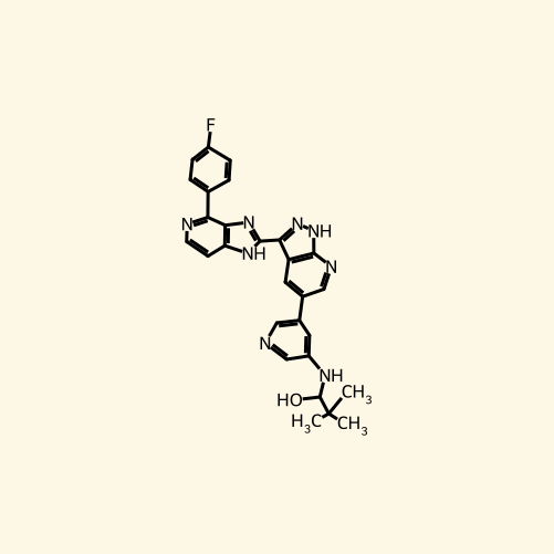 CC(C)(C)C(O)Nc1cncc(-c2cnc3[nH]nc(-c4nc5c(-c6ccc(F)cc6)nccc5[nH]4)c3c2)c1